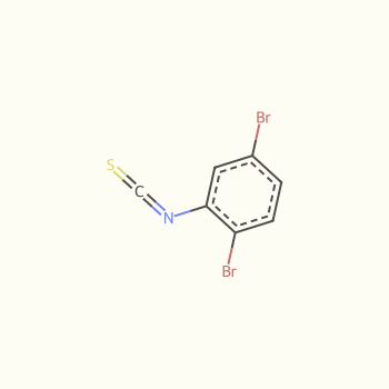 S=C=Nc1cc(Br)ccc1Br